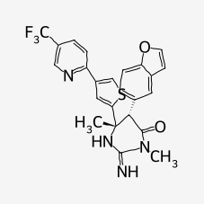 CN1C(=N)N[C@](C)(c2cc(-c3ccc(C(F)(F)F)cn3)cs2)[C@H](c2ccc3occc3c2)C1=O